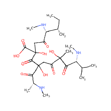 CC[C@H](C)[C@@H](NC)C(=O)CC(O)(C(=O)O)C(=O)C(O)(CC(=O)C(C)(O)C(=O)[C@H](NC)C(C)C)C(=O)[C@@H](C)NC